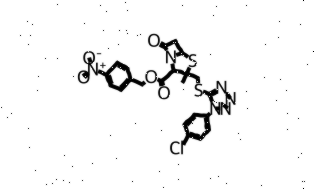 CC1(CSc2nnnn2-c2ccc(Cl)cc2)SC2CC(=O)N2C1C(=O)OCc1ccc([N+](=O)[O-])cc1